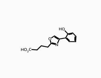 O=C(O)CCCc1nc(-c2ccccc2O)co1